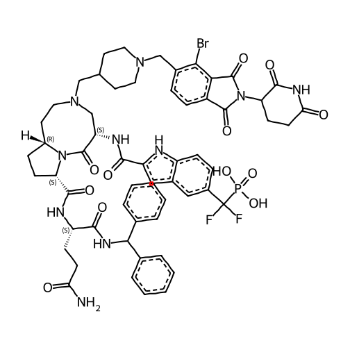 NC(=O)CC[C@H](NC(=O)[C@@H]1CC[C@@H]2CCN(CC3CCN(Cc4ccc5c(c4Br)C(=O)N(C4CCC(=O)NC4=O)C5=O)CC3)C[C@H](NC(=O)c3cc4cc(C(F)(F)P(=O)(O)O)ccc4[nH]3)C(=O)N21)C(=O)NC(c1ccccc1)c1ccccc1